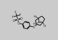 CN1[C@@H]2CC[C@H]1C[C@H](Sc1ccc(OS(=O)(=O)C(F)(F)F)cc1)C2